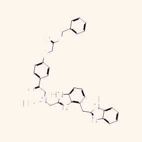 CN(CC(=O)c1ccc(OCC(=O)OCc2ccccc2)cc1)Cc1nc2c(Cc3nc4ccccc4[nH]3)cccc2[nH]1